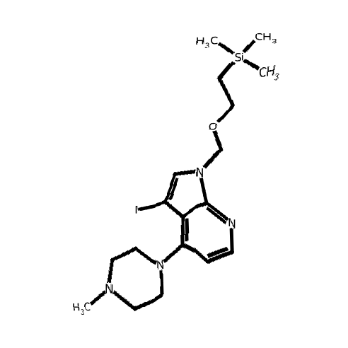 CN1CCN(c2ccnc3c2c(I)cn3COCC[Si](C)(C)C)CC1